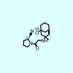 CC1(NCC(=O)N2CCC[C@H]2C#N)C=C2CCCC(O)(C2)C1